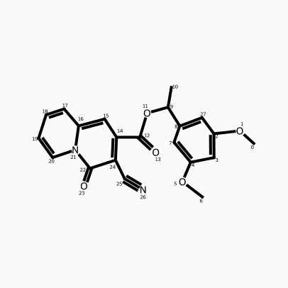 COc1cc(OC)cc(C(C)OC(=O)c2cc3ccccn3c(=O)c2C#N)c1